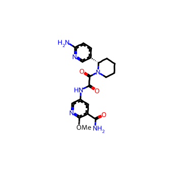 COc1ncc(NC(=O)C(=O)N2CCCC[C@H]2c2ccc(N)nc2)cc1C(N)=O